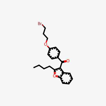 CCCCc1oc2ccccc2c1C(=O)c1ccc(OCCCBr)cc1